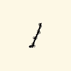 CC(CC(C)(C)C)C(=O)OCCCCCC(=O)OCCCCCC(=O)OCCCCOC1CO1